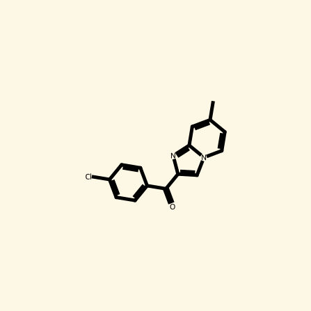 Cc1ccn2cc(C(=O)c3ccc(Cl)cc3)nc2c1